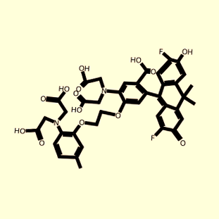 Cc1ccc(N(CC(=O)O)CC(=O)O)c(OCCOc2cc(C3=C4C=C(F)C(=O)C=C4C(C)(C)c4cc(O)c(F)cc43)c(C(=O)O)cc2N(CC(=O)O)CC(=O)O)c1